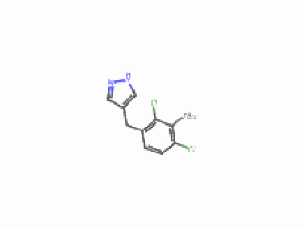 CCCCc1c(Cl)ccc(Cc2cn[nH]c2)c1Cl